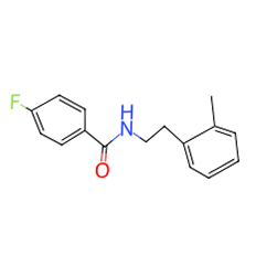 Cc1ccccc1CCNC(=O)c1ccc(F)cc1